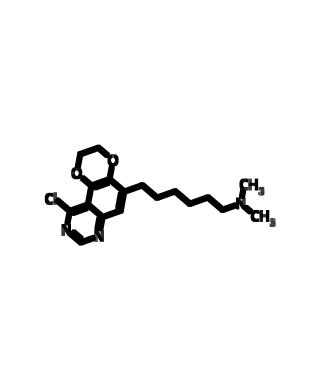 CN(C)CCCCCCc1cc2ncnc(Cl)c2c2c1OCCO2